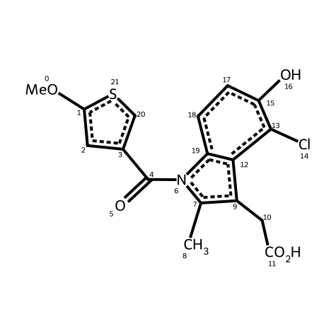 COc1cc(C(=O)n2c(C)c(CC(=O)O)c3c(Cl)c(O)ccc32)cs1